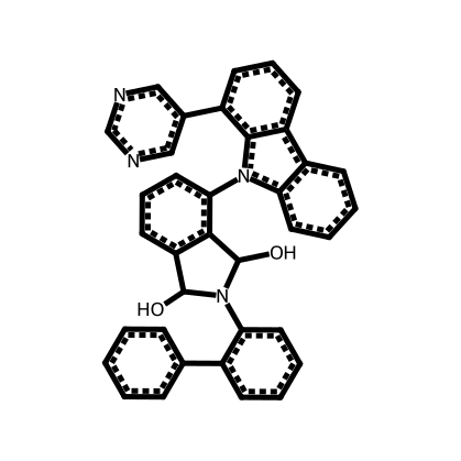 OC1c2cccc(-n3c4ccccc4c4cccc(-c5cncnc5)c43)c2C(O)N1c1ccccc1-c1ccccc1